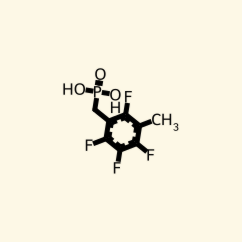 Cc1c(F)c(F)c(F)c(CP(=O)(O)O)c1F